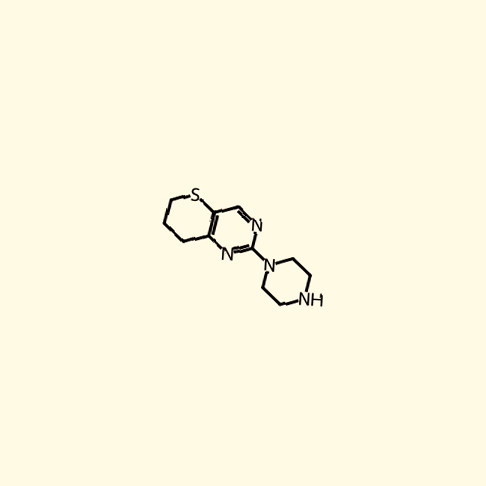 c1nc(N2CCNCC2)nc2c1SCCC2